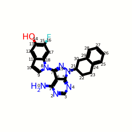 Nc1ncnc2c1c(-n1ccc3cc(O)c(F)cc31)nn2C1CCc2ccccc2C1